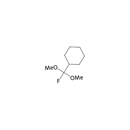 COC(F)(OC)C1CCCCC1